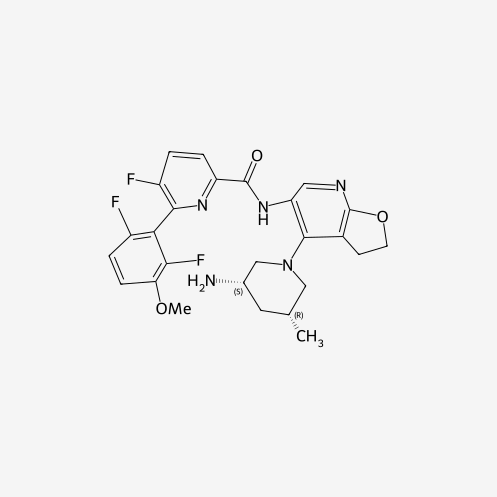 COc1ccc(F)c(-c2nc(C(=O)Nc3cnc4c(c3N3C[C@H](C)C[C@H](N)C3)CCO4)ccc2F)c1F